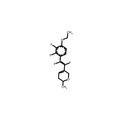 CCOc1ccc(/C(F)=C(\F)C2=CCC(C)OC2)c(F)c1F